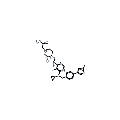 Cn1cc(-c2ccc(CN(c3ncnc(NC[C@@H]4CCN(CC(N)=O)C[C@H]4O)c3F)C3CC3)cc2)cn1